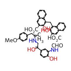 COc1ccc(C[C@@H](C)NC[C@H](O)c2ccc(O)c(NC=O)c2)cc1.O=C(O)c1cc2ccccc2c(Cc2c(O)c(C(=O)O)cc3ccccc23)c1O